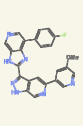 COc1cncc(-c2cc3c(-c4nc5c(-c6ccc(F)cc6)cncc5[nH]4)n[nH]c3cn2)c1